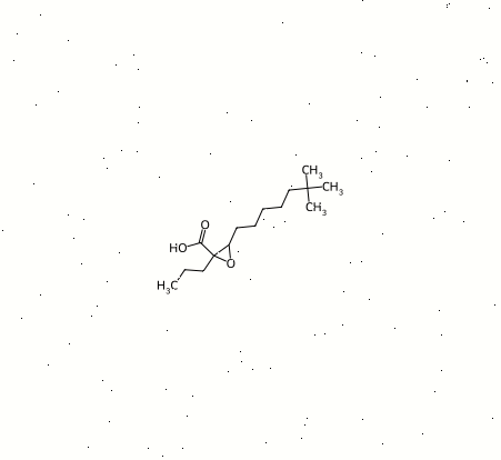 CCCC1(C(=O)O)OC1CCCCCC(C)(C)C